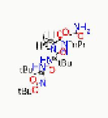 CCCC(NC(=O)[C@@H]1[C@@H]2[C@H](CN1C(=O)[C@@H](NC(=O)N[C@H](CN(C)C(=O)OC(C)(C)C)CC(C)(C)C)C(C)(C)C)C2(C)C)C(=O)C(N)=O